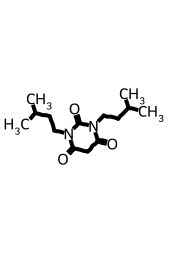 CC(C)CCN1C(=O)CC(=O)N(CCC(C)C)C1=O